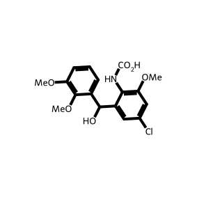 COc1cc(Cl)cc(C(O)c2cccc(OC)c2OC)c1NC(=O)O